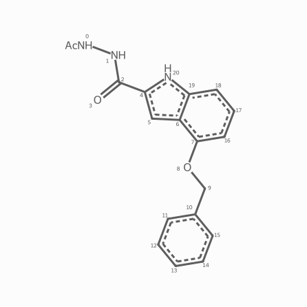 CC(=O)NNC(=O)c1cc2c(OCc3ccccc3)cccc2[nH]1